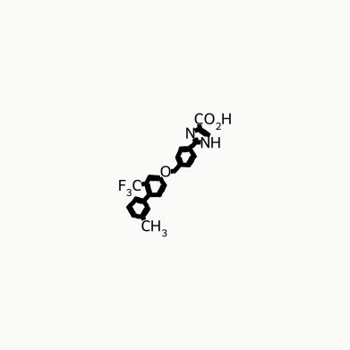 Cc1cccc(-c2ccc(OCc3ccc(-c4nc(C(=O)O)c[nH]4)cc3)cc2C(F)(F)F)c1